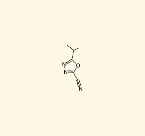 CC(C)c1nnc(C#N)o1